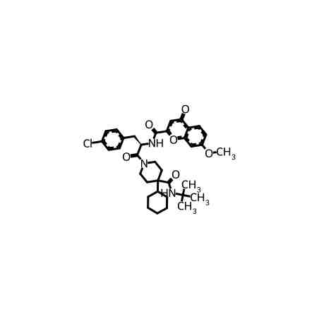 COc1ccc2c(=O)cc(C(=O)N[C@H](Cc3ccc(Cl)cc3)C(=O)N3CCC(C(=O)NC(C)(C)C)(C4CCCCC4)CC3)oc2c1